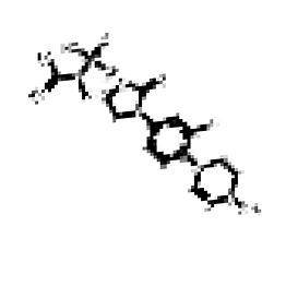 C=C(C)N(C[C@H]1CN(c2ccc(N3C=NN(C)CC3)c(F)c2)C(=O)O1)P(=O)(O)O